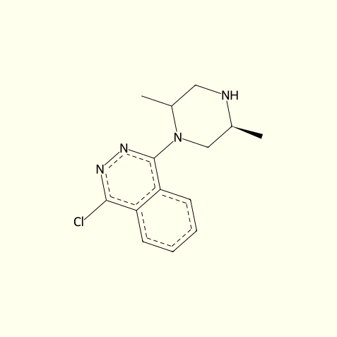 CC1CN[C@@H](C)CN1c1nnc(Cl)c2ccccc12